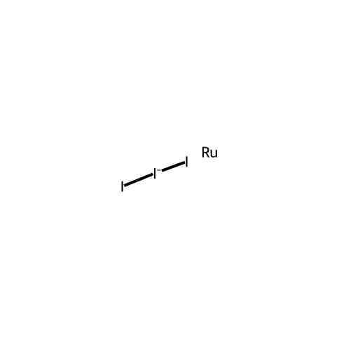 I[I-]I.[Ru]